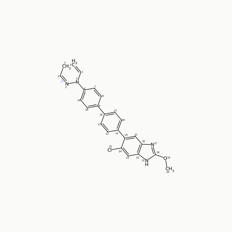 C=CN(/N=C\C)c1ccc(-c2ccc(-c3cc4nc(OC)[nH]c4cc3Cl)cc2)cc1